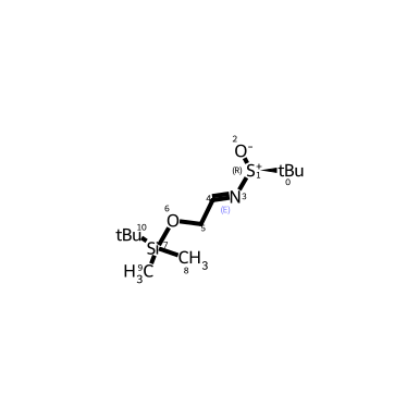 CC(C)(C)[S@+]([O-])/N=C/CO[Si](C)(C)C(C)(C)C